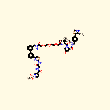 CC1NCSC1c1ccc(CNC(=O)[C@@H]2C[C@@H](O)CN2C(=O)[C@@H](NC(=O)COCCOCCOCC(=O)NCc2cccc(-c3cccc(C4CSC(NC(=O)CNC(=O)C5CCN(S(C)(=O)=O)C5)N4)c3)c2)C(C)(C)C)cc1